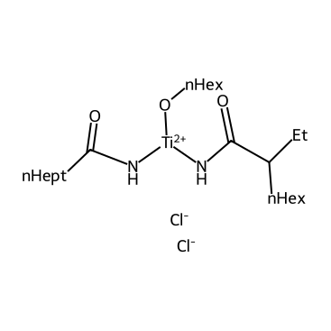 CCCCCCCC(=O)[NH][Ti+2]([NH]C(=O)C(CC)CCCCCC)[O]CCCCCC.[Cl-].[Cl-]